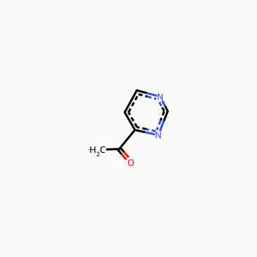 [CH2]C(=O)c1ccncn1